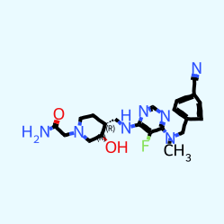 CN(Cc1ccc(C#N)cc1)c1ncnc(NC[C@H]2CCN(CC(N)=O)C[C@@H]2O)c1F